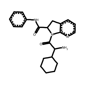 NC(C(=O)N1c2ncccc2CC1C(=O)Nc1ccccc1)C1CCCCC1